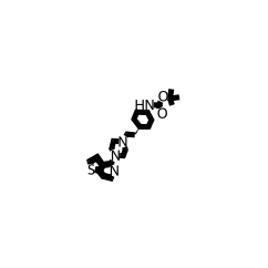 CC(C)(C)OC(=O)N[C@H]1CC[C@H](CCN2CCN(c3nccc4sccc34)CC2)CC1